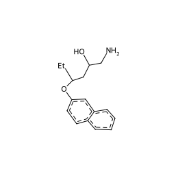 CCC(CC(O)CN)Oc1ccc2ccccc2c1